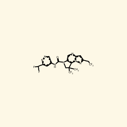 CC1(C(F)(F)F)CN(C(=O)Nc2cnnc(C(F)F)c2)c2cnc3cc(CC(F)(F)F)nn3c21